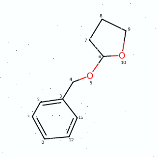 c1ccc(COC2CCCO2)cc1